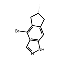 C[C@@H]1Cc2cc3[nH]ncc3c(Br)c2C1